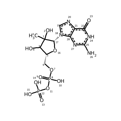 CC1(O)C(O)[C@@H](COP(=O)(O)OP(=O)(O)O)O[C@H]1n1cnc2c(=O)[nH]c(N)nc21